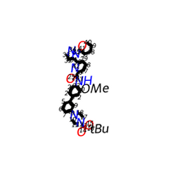 COc1cc(-c2cccc(N3CCN(C(=O)OC(C)(C)C)CC3)c2)ccc1NC(=O)c1cccc(-c2ccnn2C2CCCCO2)n1